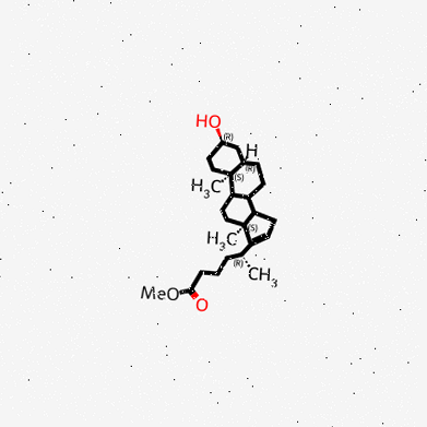 COC(=O)CCC[C@@H](C)C1=CCC2C3CC[C@@H]4C[C@H](O)CC[C@]4(C)C3CC[C@]12C